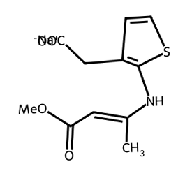 COC(=O)C=C(C)Nc1sccc1CC(=O)[O-].[Na+]